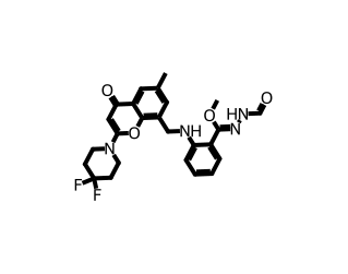 CO/C(=N\NC=O)c1ccccc1NCc1cc(C)cc2c(=O)cc(N3CCC(F)(F)CC3)oc12